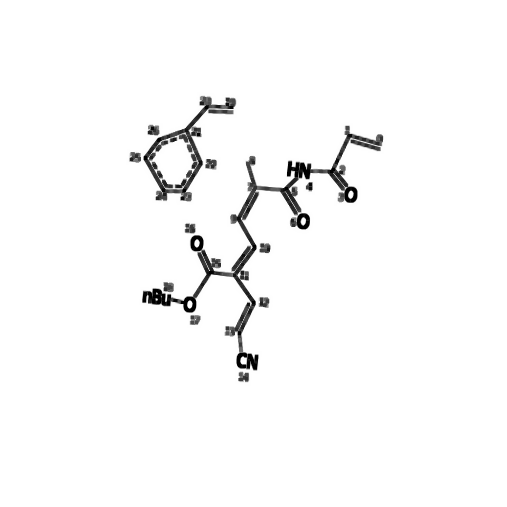 C=CC(=O)NC(=O)C(C)=CC=C(C=CC#N)C(=O)OCCCC.C=Cc1ccccc1